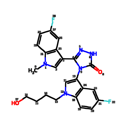 Cn1cc(-c2n[nH]c(=O)n2-c2cn(CCCCO)c3ccc(F)cc23)c2cc(F)ccc21